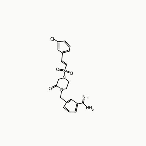 N=C(N)c1cccc(CN2CCN(S(=O)(=O)/C=C/c3cccc(Cl)c3)CC2=O)c1